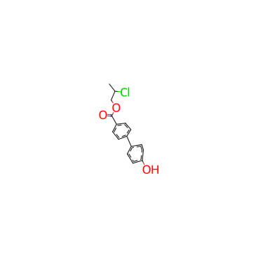 CC(Cl)COC(=O)c1ccc(-c2ccc(O)cc2)cc1